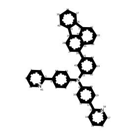 c1ccc(-c2ccc(N(c3ccc(-c4ccccn4)cc3)c3cccc(-c4ccc5c6c(cccc46)-c4ccccc4-5)c3)cc2)nc1